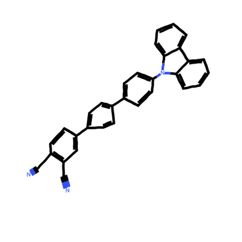 N#Cc1ccc(-c2ccc(-c3ccc(-n4c5ccccc5c5ccccc54)cc3)cc2)cc1C#N